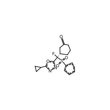 O=C1CCC[C@H](C(F)(c2nnc(C3CC3)o2)S(=O)(=O)c2ccccc2)C1